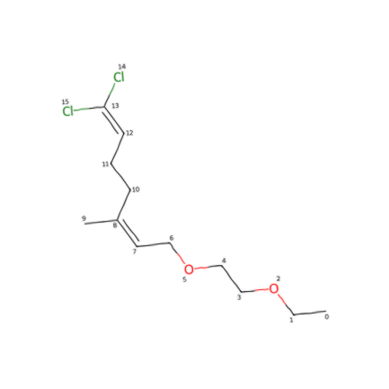 CCOCCOCC=C(C)CCC=C(Cl)Cl